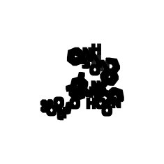 Cc1c(-c2cccnc2C(=O)O)c(-c2ccc3c(c2)N(C(=O)Nc2nc4ccccc4s2)CCC3)nn1CC12CC3(C)CC(C)(C1)CC(OCCN(C)C(=O)OC(C)(C)C)(C3)C2